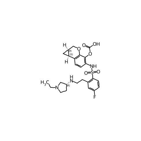 CCN1CC[C@@H](NCCc2cc(F)ccc2S(=O)(=O)Nc2ccc3c(c2OC(=O)O)OC[C@@H]2C[C@H]32)C1